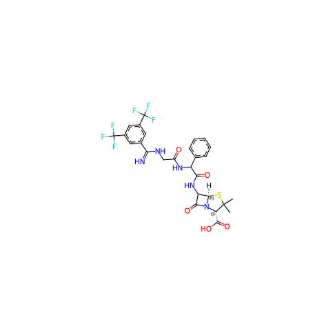 CC1(C)S[C@@H]2C(NC(=O)C(NC(=O)CNC(=N)c3cc(C(F)(F)F)cc(C(F)(F)F)c3)c3ccccc3)C(=O)N2[C@H]1C(=O)O